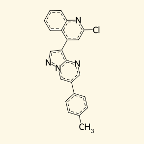 Cc1ccc(-c2cnc3c(-c4cc(Cl)nc5ccccc45)cnn3c2)cc1